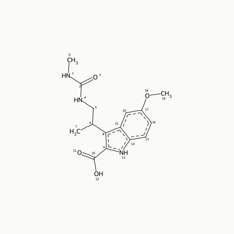 CNC(=O)NCC(C)c1c(C(=O)O)[nH]c2ccc(OC)cc12